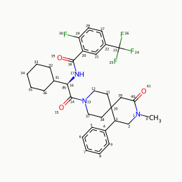 CN1CC(c2ccccc2)C2(CCN(C(=O)[C@H](NC(=O)c3cc(C(F)(F)F)ccc3F)C3CCCCC3)CC2)CC1=O